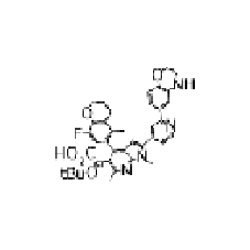 Cc1nc2c(cc(-c3ccnc(-c4ccc5c(c4)NCCO5)c3)n2C)c(-c2cc(F)c3c(c2C)CCCO3)c1[C@H](OC(C)(C)C)C(=O)O